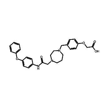 O=C(O)COc1ccc(CN2CCCN(CC(=O)Nc3ccc(Oc4ccccc4)cc3)CC2)cc1